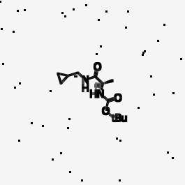 C[C@@H](NC(=O)OC(C)(C)C)C(=O)NCC1CC1